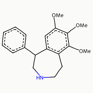 COc1cc2c(c(OC)c1OC)CCNCC2c1ccccc1